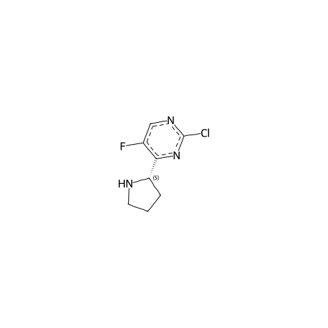 Fc1cnc(Cl)nc1[C@@H]1CCCN1